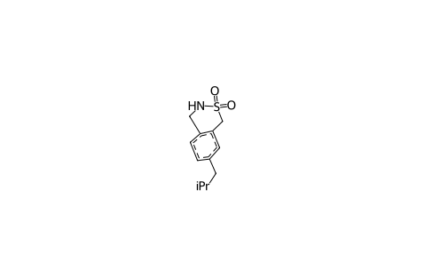 CC(C)Cc1ccc2c(c1)CS(=O)(=O)NC2